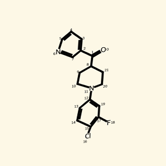 O=C(c1cccnc1)C1CCN(c2ccc(Cl)c(F)c2)CC1